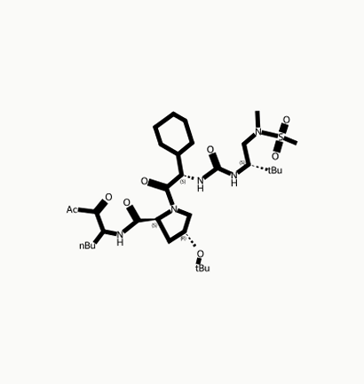 CCCCC(NC(=O)[C@@H]1C[C@@H](OC(C)(C)C)CN1C(=O)[C@@H](NC(=O)N[C@H](CN(C)S(C)(=O)=O)C(C)(C)C)C1CCCCC1)C(=O)C(C)=O